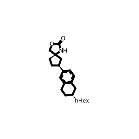 CCCCCC[C@@H]1CCc2cc([C@H]3CC[C@]4(COC(=O)N4)C3)ccc2C1